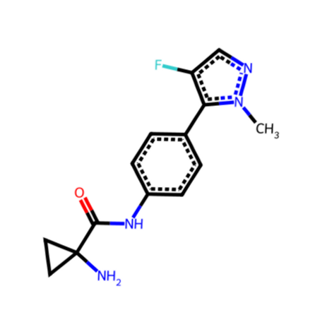 Cn1ncc(F)c1-c1ccc(NC(=O)C2(N)CC2)cc1